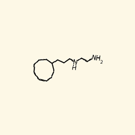 NCCNCCCC1CCCCCCCC1